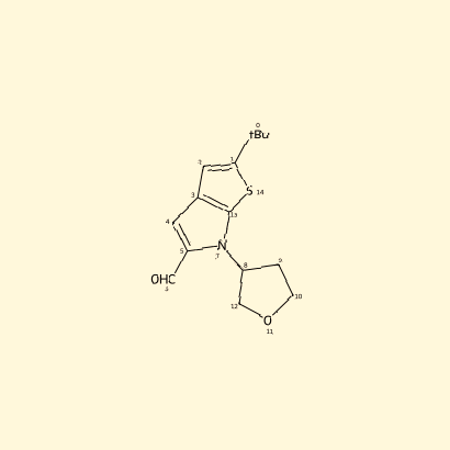 CC(C)(C)c1cc2cc(C=O)n(C3CCOC3)c2s1